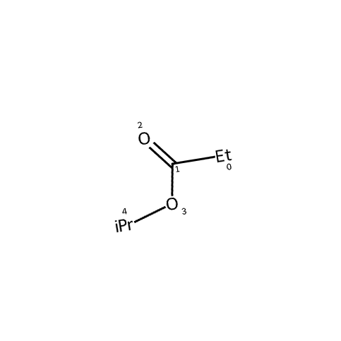 CCC(=O)OC(C)C